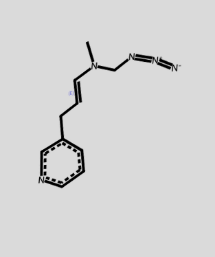 CN(/C=C/Cc1cccnc1)CN=[N+]=[N-]